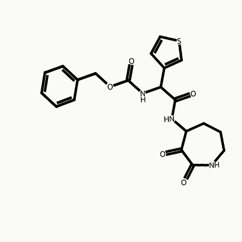 O=C(NC(C(=O)NC1CCCNC(=O)C1=O)c1ccsc1)OCc1ccccc1